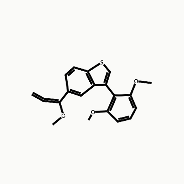 C=C=C(OC)c1ccc2scc(-c3c(OC)cccc3OC)c2c1